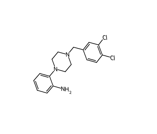 Nc1ccccc1N1CCN(Cc2ccc(Cl)c(Cl)c2)CC1